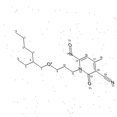 CCCCC(CC)COCCCn1c(N=O)cc(C)c(C#N)c1=O